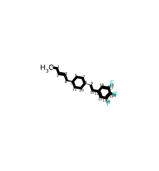 CC/C=C/C[C@H]1CC[C@H](CCc2cc(F)c(F)c(F)c2)CC1